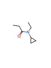 CCC(=O)N(CC)C1CC1